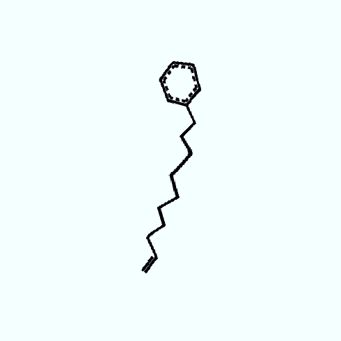 C=CCCCCCCCCc1ccccc1